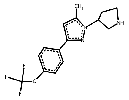 Cc1cc(-c2ccc(OC(F)(F)F)cc2)nn1C1CCNC1